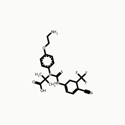 CC(C)(C(=O)O)N(C(=S)NC1=CC=C(C#N)C(C(F)(F)F)C1)c1ccc(OCCN)cc1